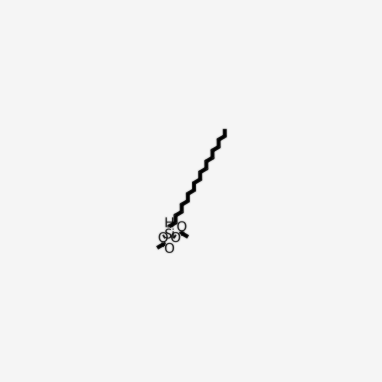 CCCCCCCCCCCCCCCCCCC[SiH](OC(C)=O)OC(C)=O